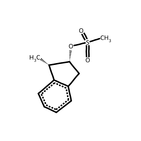 C[C@H]1c2ccccc2C[C@H]1OS(C)(=O)=O